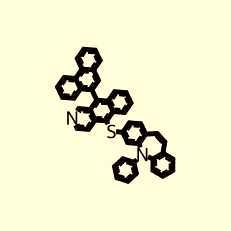 C1=Cc2ccc(Sc3c4ccccc4c(-c4cc5ccccc5c5ccccc45)c4cnccc34)cc2N(c2ccccc2)c2ccccc21